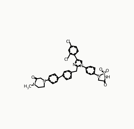 CN1CCN(c2ccc(-c3ccc(Cc4nc(-c5ccc(Cl)cc5Cl)cn4-c4ccc(N5CC(=O)NS5(=O)=O)cc4)cc3)cc2)CC1=O